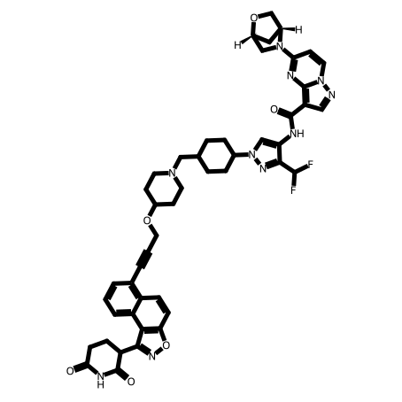 O=C1CCC(c2noc3ccc4c(C#CCOC5CCN(CC6CCC(n7cc(NC(=O)c8cnn9ccc(N%10C[C@H]%11C[C@@H]%10CO%11)nc89)c(C(F)F)n7)CC6)CC5)cccc4c23)C(=O)N1